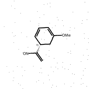 C=C(N=O)[C@@H]1C=CC=C(OC)C1